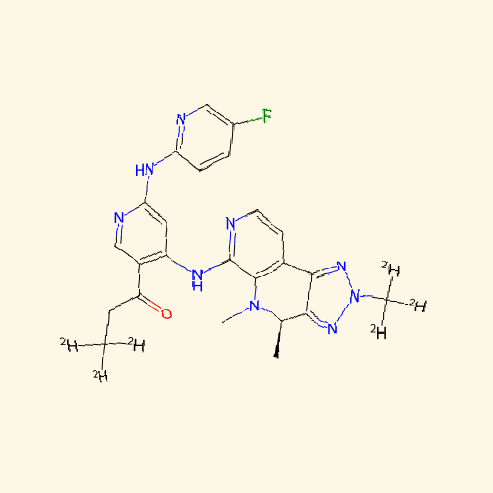 [2H]C([2H])([2H])CC(=O)c1cnc(Nc2ccc(F)cn2)cc1Nc1nccc2c1N(C)[C@H](C)c1nn(C([2H])([2H])[2H])nc1-2